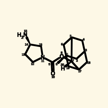 C[C@]12CC3CC(C1)[C@@H](OC(=O)N1CC[C@@H](N)C1)C(C3)C2